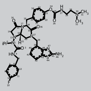 CC(C)N(C(=O)NCc1ccc(F)cc1)N1CC(=O)N2[C@@H](Cc3ccc(OC(=O)NCCN(C)C)cc3)C(=O)N(Cc3cccc4sc(N)nc34)C[C@@H]21